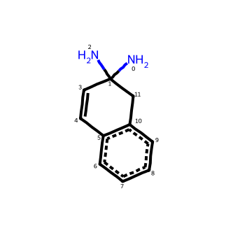 NC1(N)C=Cc2ccccc2C1